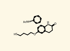 CC(=O)Nc1ccccc1.O=C1CCc2cc(OCCCCS)ccc2N1